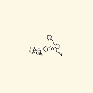 CC(C)(C)OC(=O)c1ccc(COc2c(CC#N)cccc2CCc2ccccc2)cc1